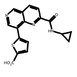 O=C(NC1CC1)c1ccc2cncc(-c3ccc(C(=O)O)s3)c2n1